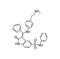 NCCc1ccc(NC(=C2C(=O)Nc3ccc(S(=O)(=O)Nc4ccccc4)cc32)c2ccccc2)cc1